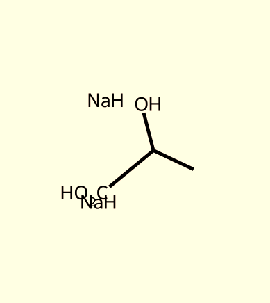 CC(O)C(=O)O.[NaH].[NaH]